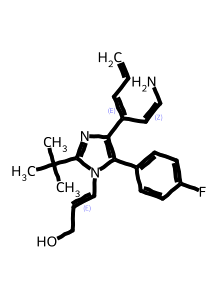 C=C/C=C(\C=C/N)c1nc(C(C)(C)C)n(/C=C/CO)c1-c1ccc(F)cc1